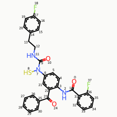 O=C(Nc1ccc(N(S)C(=O)NCCc2ccc(F)cc2)cc1C(=O)c1ccccc1)c1ccccc1F